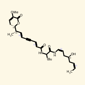 C/C=C\C[C@H](O)C/C=C\NC(=O)C(NC(=O)/C=C/C#C/C=C/[C@H](C)[C@@H]1CC=C(OC)C(=O)O1)C(C)(C)C